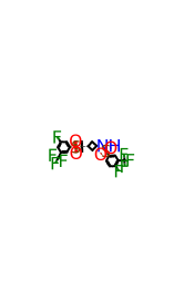 CC(C)([C@H]1C[C@H](NS(=O)(=O)c2ccc(F)c(C(F)(F)F)c2)C1)S(=O)(=O)c1cc(F)cc(C(F)(F)F)c1